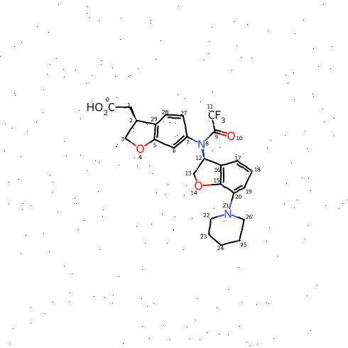 O=C(O)C[C@@H]1COc2cc(N(C(=O)C(F)(F)F)[C@@H]3COc4c3cccc4N3CCCCC3)ccc21